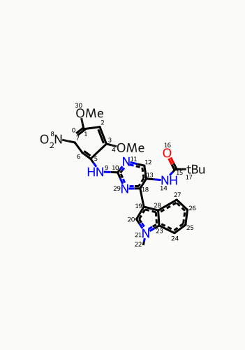 C=C(/C=C(OC)\C(=C/C[N+](=O)[O-])Nc1ncc(NC(=O)C(C)(C)C)c(-c2cn(C)c3ccccc23)n1)OC